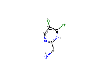 NCc1ncc(Br)c(Cl)n1